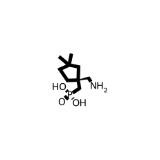 CC1(C)CC[C@@](CN)(CP(=O)(O)O)C1